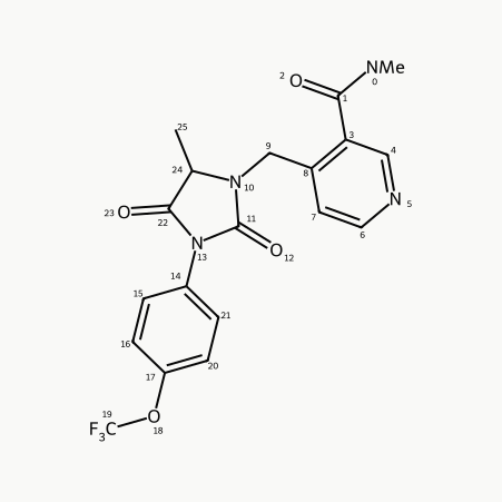 CNC(=O)c1cnccc1CN1C(=O)N(c2ccc(OC(F)(F)F)cc2)C(=O)C1C